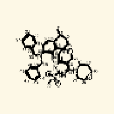 CC1CCC2(Cc3nc(S(C)(=O)=O)nc(N4CCCOCC4)c3CO2)c2c1ccc(N(Cc1ccccc1)Cc1ccccc1)c2C#N